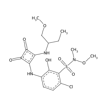 CCC(COC)Nc1c(Nc2ccc(Cl)c(S(=O)(=O)N(C)OC)c2O)c(=O)c1=O